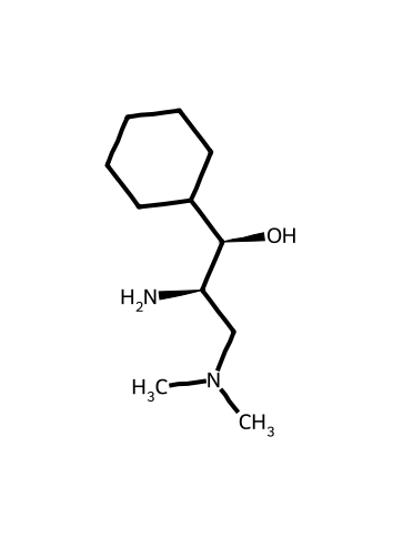 CN(C)C[C@@H](N)[C@H](O)C1CCCCC1